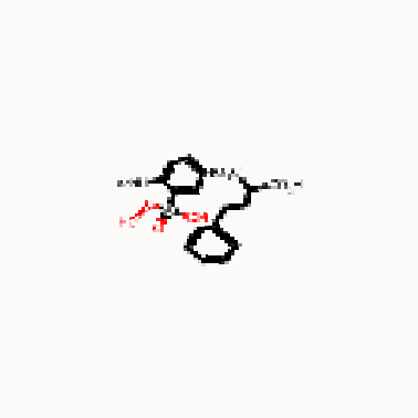 CC(=O)Nc1ccccc1[As](=O)(O)OO.O=C(O)C(CCc1ccccc1)C(=O)O